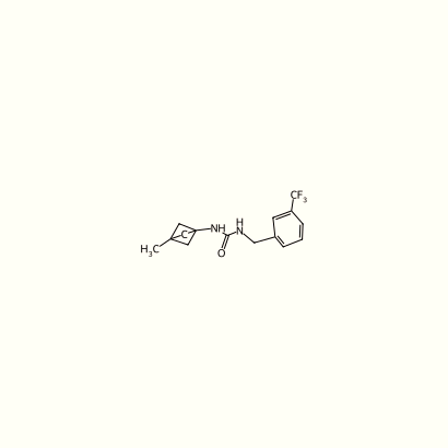 CC12CC(NC(=O)NCc3cccc(C(F)(F)F)c3)(C1)C2